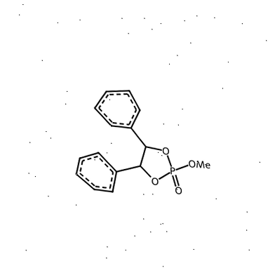 COP1(=O)OC(c2ccccc2)C(c2ccccc2)O1